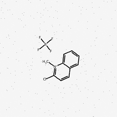 C[n+]1c(Cl)ccc2ccccc21.F[B-](F)(F)F